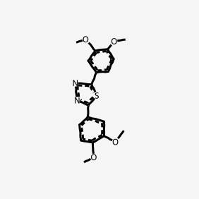 COc1ccc(-c2nnc(-c3ccc(OC)c(OC)c3)s2)cc1OC